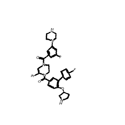 CC(C)C1CN(C(=O)c2cc(F)cc(N3CCNCC3)c2)CCN1C(=O)c1ccc(O[C@H]2CCNC2)c(-c2ccc(F)cc2)c1